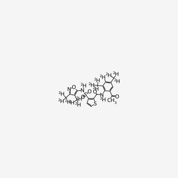 [2H]c1c(C([2H])([2H])[2H])cc(C(C)=O)c(N([2H])C(=O)c2sccc2S(=O)(=O)N([2H])c2onc(C([2H])([2H])[2H])c2C([2H])([2H])[2H])c1C([2H])([2H])[2H]